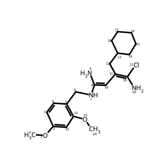 COc1ccc(CN/C(N)=C/C(CC2CCCCC2)=C(\N)Cl)c(OC)c1